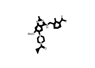 COc1cc2nc(C)nc(NCc3cccc(C(F)F)c3C)c2cc1P1CCN(C(=O)C2CC2)CC1